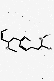 CBC(/C=C\C)CC(/C=C\CCC(CCC)NCCC)=C/C